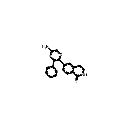 Nc1cnc(-c2ccc3c(=O)[nH]ccc3c2)c(-c2ccccc2)n1